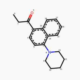 CCC(=O)c1ccc(N2CCCCC2)c2ccccc12